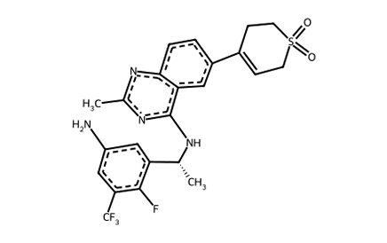 Cc1nc(N[C@H](C)c2cc(N)cc(C(F)(F)F)c2F)c2cc(C3=CCS(=O)(=O)CC3)ccc2n1